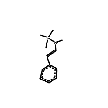 CN(C=Cc1ccccc1)[Si](C)(C)C